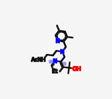 CC/C=N\C(CN(CCCNC(C)=O)Cc1ncc(C)cc1C)=C(/C)C(C)(C)O